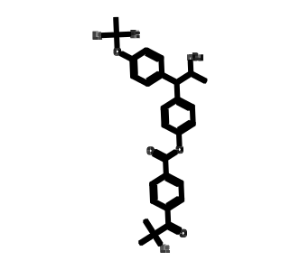 CCCCC(C)C(c1ccc(OC(=O)c2ccc(C(=O)C(C)(C)CC)cc2)cc1)c1ccc(OC(C)(CC)CC)cc1